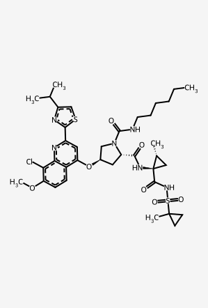 CCCCCCNC(=O)N1C[C@H](Oc2cc(-c3nc(C(C)C)cs3)nc3c(Cl)c(OC)ccc23)C[C@H]1C(=O)N[C@]1(C(=O)NS(=O)(=O)C2(C)CC2)C[C@H]1C